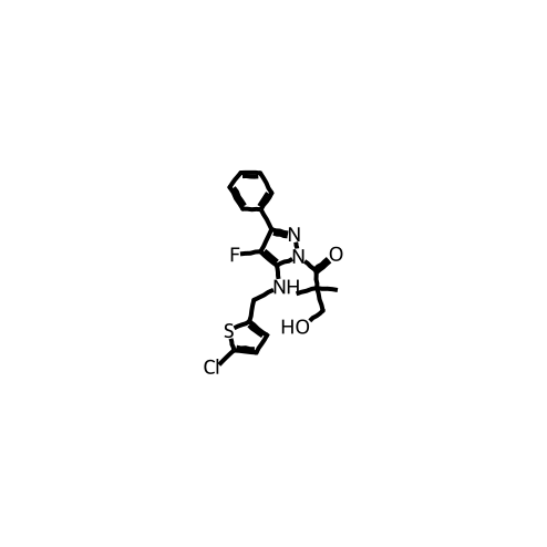 CC(C)(CO)C(=O)n1nc(-c2ccccc2)c(F)c1NCc1ccc(Cl)s1